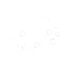 Cc1c(C(=O)NCCCN2CCN(C)CC2)c(-c2cccc(N3CCN(c4ccc(NS(=O)(=O)c5ccc(N[C@H](CCN6CCOCC6)CSc6ccccc6)c(S(=O)(=O)C(F)(F)F)c5)cc4)CC3)c2)c(-c2ccc(F)cc2)n1C